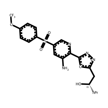 CCC[C@H](O)Cc1nnc(-c2ncc(S(=O)(=O)c3ccc(OC(F)(F)F)cc3)cc2N)o1